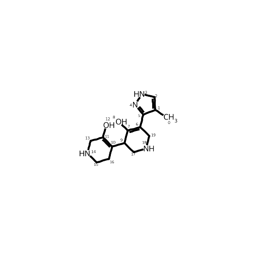 Cc1c[nH]nc1C1=C(O)C(C2=C(O)CNCC2)CNC1